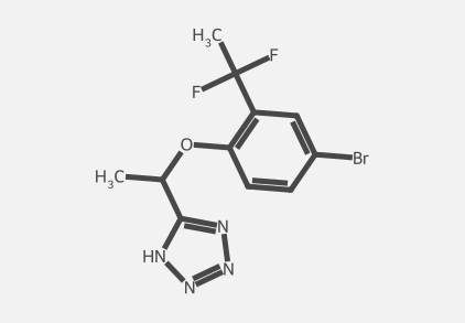 CC(Oc1ccc(Br)cc1C(C)(F)F)c1nnn[nH]1